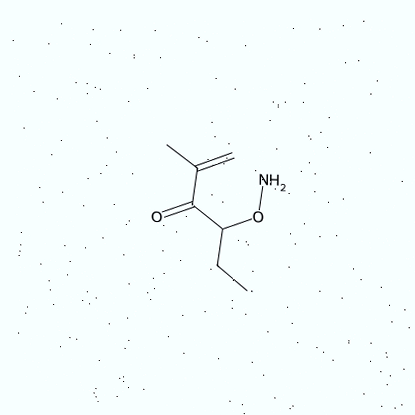 [CH2]CC(ON)C(=O)C(=C)C